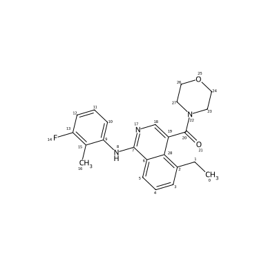 CCc1cccc2c(Nc3cccc(F)c3C)ncc(C(=O)N3CCOCC3)c12